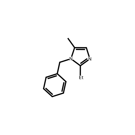 CCc1ncc(C)n1Cc1ccccc1